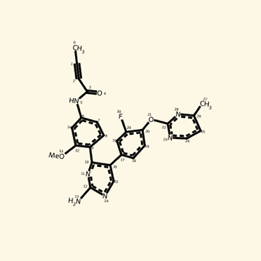 CC#CC(=O)Nc1ccc(-c2nc(N)ncc2-c2ccc(Oc3nccc(C)n3)c(F)c2)c(OC)c1